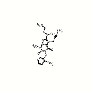 CC#CCn1c(N(C)CCN)nc2c1c(=O)n(Cc1cnccc1N)c(=O)n2C